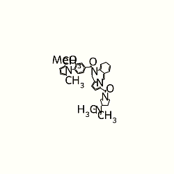 COc1cc(C(=O)N2Cc3ccc(C(=O)N4CC[C@@H](N(C)C)C4)n3C=C3C=CCC=C32)ccc1-n1c(C)ccc1C